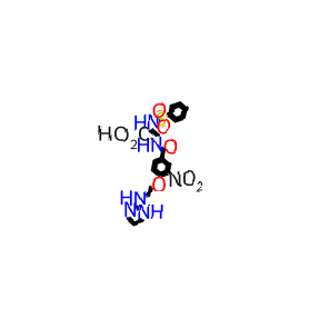 O=C(NC[C@H](NS(=O)(=O)c1ccccc1)C(=O)O)c1ccc(OCCNC2=NCCCN2)c([N+](=O)[O-])c1